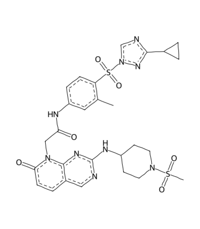 Cc1cc(NC(=O)Cn2c(=O)ccc3cnc(NC4CCN(S(C)(=O)=O)CC4)nc32)ccc1S(=O)(=O)n1cnc(C2CC2)n1